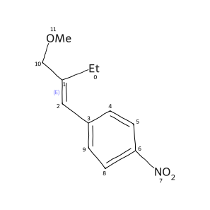 CC/C(=C\c1ccc([N+](=O)[O-])cc1)COC